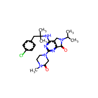 CC(C)N1Cc2c(NC(C)(C)Cc3ccc(Cl)cc3)nc(N3CCN(C)C(=O)C3)nc2C1=O